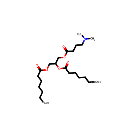 CCCCCCCCCCCCCCCC(=O)OCC(COC(=O)CCCN(C)C)OC(=O)CCCCCCCCCCCCCCC